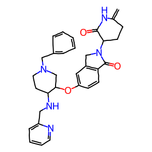 C=C1CCC(N2Cc3cc(OC4CN(Cc5ccccc5)CCC4NCc4ccccn4)ccc3C2=O)C(=O)N1